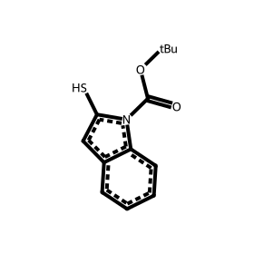 CC(C)(C)OC(=O)n1c(S)cc2ccccc21